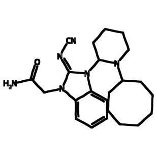 N#CN=c1n(CC(N)=O)c2ccccc2n1C1CCCCN1C1CCCCCCC1